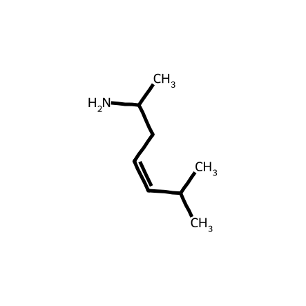 CC(C)/C=C\CC(C)N